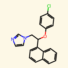 Clc1ccc(OC(Cn2ccnc2)c2cccc3ccccc23)cc1